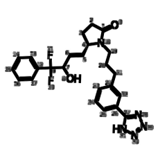 O=C1CC[C@H](C=CC(O)C(F)(F)c2ccccc2)N1CCCc1cccc(-c2nnn[nH]2)c1